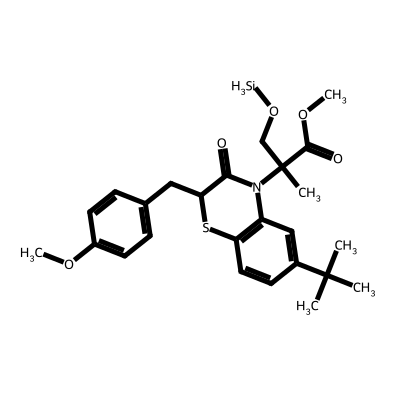 COC(=O)C(C)(CO[SiH3])N1C(=O)C(Cc2ccc(OC)cc2)Sc2ccc(C(C)(C)C)cc21